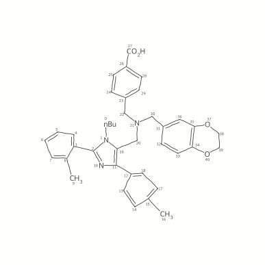 CCCCn1c(-c2ccccc2C)nc(-c2ccc(C)cc2)c1CN(Cc1ccc(C(=O)O)cc1)Cc1ccc2c(c1)OCCO2